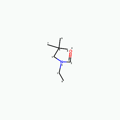 CCN([C]=O)CC(C)(C)C